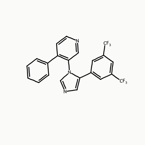 FC(F)(F)c1cc(-c2cncn2-c2cnccc2-c2ccccc2)cc(C(F)(F)F)c1